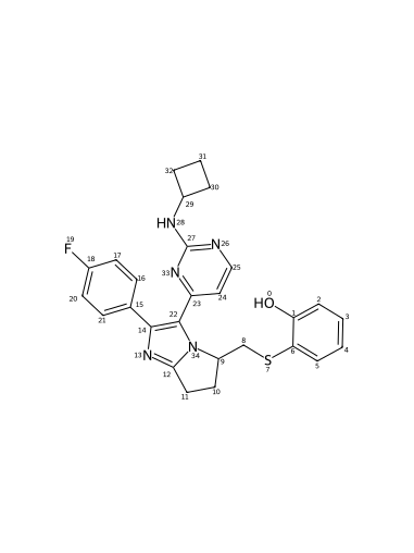 Oc1ccccc1SCC1CCc2nc(-c3ccc(F)cc3)c(-c3ccnc(NC4CCC4)n3)n21